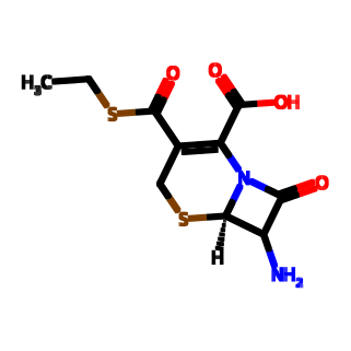 CCSC(=O)C1=C(C(=O)O)N2C(=O)C(N)[C@H]2SC1